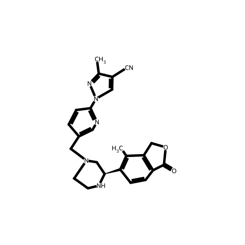 Cc1nn(-c2ccc(CN3CCN[C@H](c4ccc5c(c4C)COC5=O)C3)cn2)cc1C#N